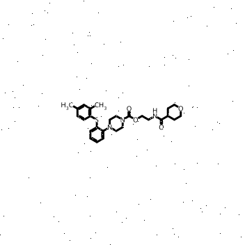 Cc1ccc(Sc2ccccc2N2CCN(C(=O)OCCNC(=O)C3CCOCC3)CC2)c(C)c1